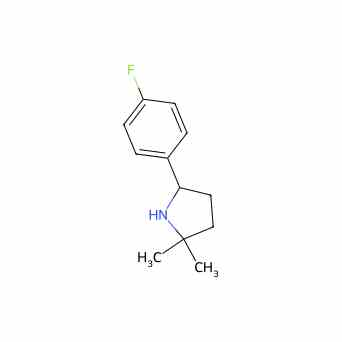 CC1(C)CCC(c2ccc(F)cc2)N1